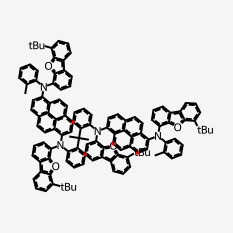 Cc1ccccc1N(c1ccc2ccc3c(N(c4ccccc4C(C)(C)c4ccccc4N(c4ccc5ccc6c(N(c7ccccc7C)c7cccc8c7oc7c(C(C)(C)C)cccc78)ccc7ccc4c5c76)c4cccc5c4oc4c(C(C)(C)C)cccc45)c4cccc5c4oc4c(C(C)(C)C)cccc45)ccc4ccc1c2c43)c1cccc2c1oc1c(C(C)(C)C)cccc12